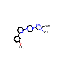 NC(CN(CC=O)C(=O)O)N1CCN(c2cccc(-c3cccc(OC(F)(F)F)c3)n2)CC1